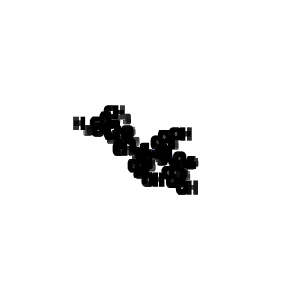 COc1cc2c(cc1OC)N(C)C(=CC=c1s/c(=c3/s/c(=C4/OC(=S)N(CC(=O)O)C4=O)n(CC(=O)O)c3=O)n(CC(=O)O)c1=O)O2